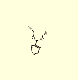 [2H]COC(OC[2H])c1ccccc1